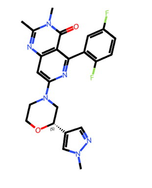 Cc1nc2cc(N3CCO[C@@H](c4cnn(C)c4)C3)nc(-c3cc(F)ccc3F)c2c(=O)n1C